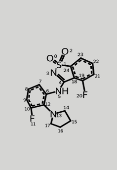 O=S1(=O)N=C(Nc2cccc(F)c2N2CCCC2)c2c(F)cccc21